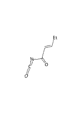 CC/C=C/C(=O)N=C=O